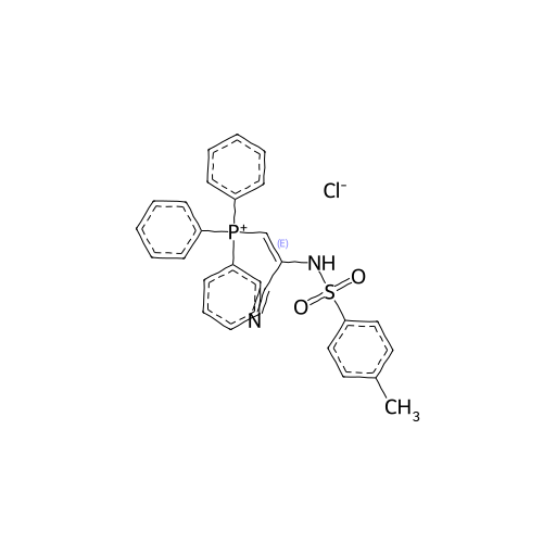 Cc1ccc(S(=O)(=O)N/C(C#N)=C/[P+](c2ccccc2)(c2ccccc2)c2ccccc2)cc1.[Cl-]